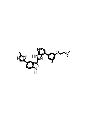 Cc1ncc(-c2ccc3[nH]nc(-c4nc5c(-c6cc(F)cc(OCCN(C)C)c6)ccnc5[nH]4)c3c2)n1C